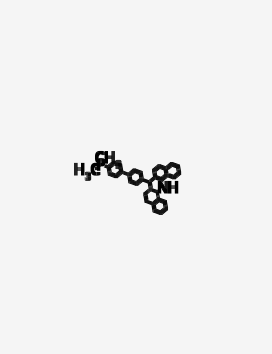 CP(C)c1ccc(-c2ccc(C3=C4C=Cc5ccccc5C4Nc4c3ccc3ccccc43)cc2)cc1